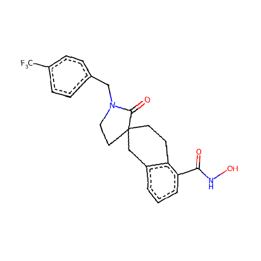 O=C(NO)c1cccc2c1CCC1(CCN(Cc3ccc(C(F)(F)F)cc3)C1=O)C2